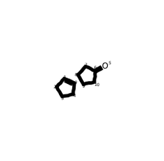 C1=CCCC1.O=C1CCCC1